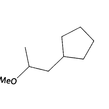 [CH2]OC(C)CC1CCCC1